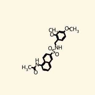 COc1ccc(CNS(=O)(=O)c2ccc3c(NC(C)=O)cccc3c2)c(OC)c1